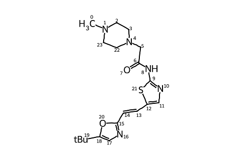 CN1CCN(CC(=O)Nc2ncc(C=Cc3ncc(C(C)(C)C)o3)s2)CC1